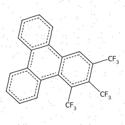 FC(F)(F)c1cc2c3ccccc3c3ccccc3c2c(C(F)(F)F)c1C(F)(F)F